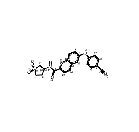 N#Cc1ccc(Oc2ccc3nc(C(=O)N[C@H]4CCS(=O)(=O)C4)ccc3c2)cc1